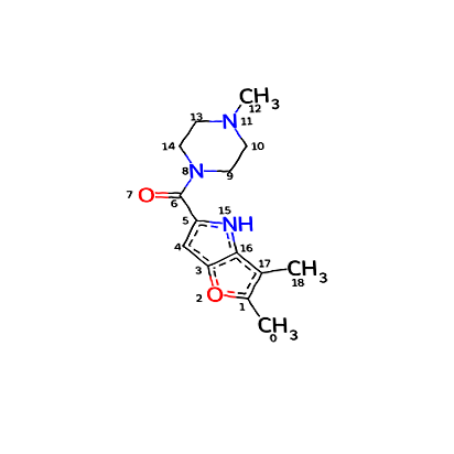 Cc1oc2cc(C(=O)N3CCN(C)CC3)[nH]c2c1C